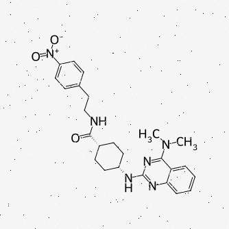 CN(C)c1nc(N[C@H]2CC[C@@H](C(=O)NCCc3ccc([N+](=O)[O-])cc3)CC2)nc2ccccc12